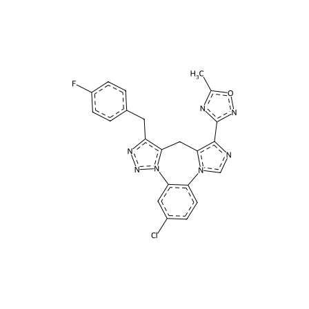 Cc1nc(-c2ncn3c2Cc2c(Cc4ccc(F)cc4)nnn2-c2cc(Cl)ccc2-3)no1